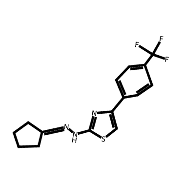 FC(F)(F)c1ccc(-c2csc(NN=C3CCCC3)n2)cc1